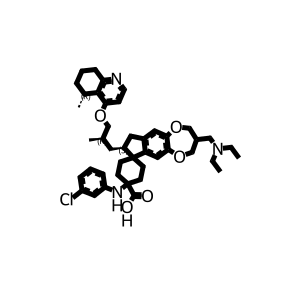 CCN(CC)CC1COc2cc3c(cc2OC1)C1(CCC(Nc2cccc(Cl)c2)(C(=O)O)CC1)[C@@H](C[C@@H](C)COc1ccnc2c1[C@H](C)CCC2)C3